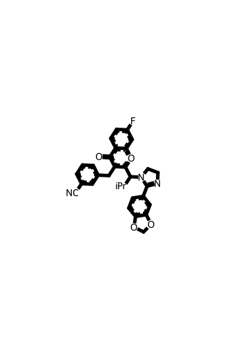 CC(C)C(c1oc2cc(F)ccc2c(=O)c1Cc1cccc(C#N)c1)N1CCN=C1c1ccc2c(c1)OCO2